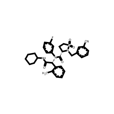 Cc1ccccc1[C@H](C(=O)NC1CCCCC1)N(C(=O)[C@@H]1CCS(=O)(=O)N1Cc1cccc(C#N)c1)c1cccc(F)c1